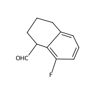 O=CC1CCCc2cccc(F)c21